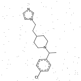 CC(c1ccc(Cl)cc1)N1CCC(CCn2ccnc2)CC1